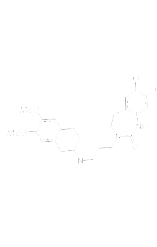 COc1cc2c(cc1OC)CC(N(C)CCCN1CCc3cc(Cl)c(Cl)cc3NC1=O)CC2